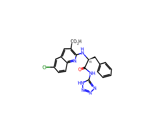 O=C(O)c1cc2cc(Cl)ccc2nc1N[C@@H](Cc1ccccc1)C(=O)Nc1nnn[nH]1